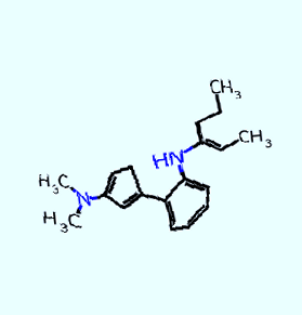 CC=C(CCC)Nc1ccccc1C1=CC(N(C)C)=CC1